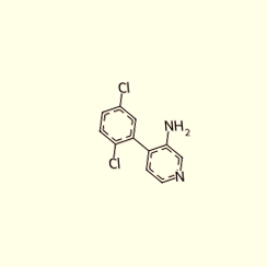 Nc1cnccc1-c1cc(Cl)ccc1Cl